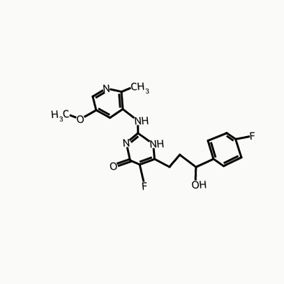 COc1cnc(C)c(Nc2nc(=O)c(F)c(CCC(O)c3ccc(F)cc3)[nH]2)c1